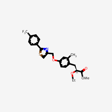 CCO[C@@H](Cc1ccc(OCc2csc(-c3ccc(C(F)(F)F)cc3)n2)cc1C)C(=O)OC